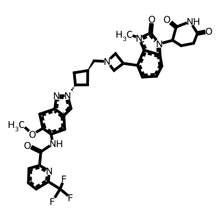 COc1cc2nn([C@H]3C[C@H](CN4CC(c5cccc6c5n(C)c(=O)n6C5CCC(=O)NC5=O)C4)C3)cc2cc1NC(=O)c1cccc(C(F)(F)F)n1